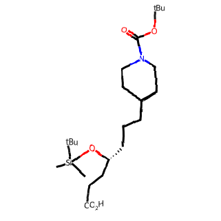 CC(C)(C)OC(=O)N1CCC(CCC[C@H](CCC(=O)O)O[Si](C)(C)C(C)(C)C)CC1